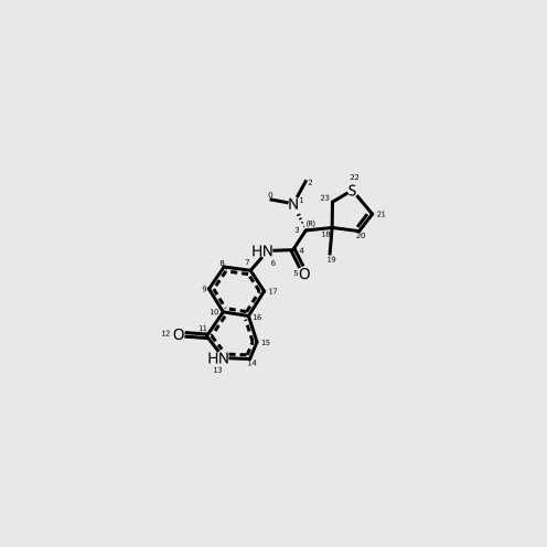 CN(C)[C@@H](C(=O)Nc1ccc2c(=O)[nH]ccc2c1)C1(C)C=CSC1